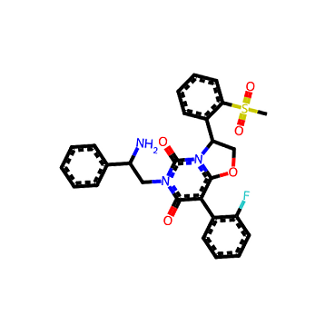 CS(=O)(=O)c1ccccc1C1COc2c(-c3ccccc3F)c(=O)n(CC(N)c3ccccc3)c(=O)n21